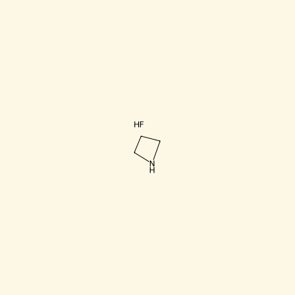 C1CNC1.F